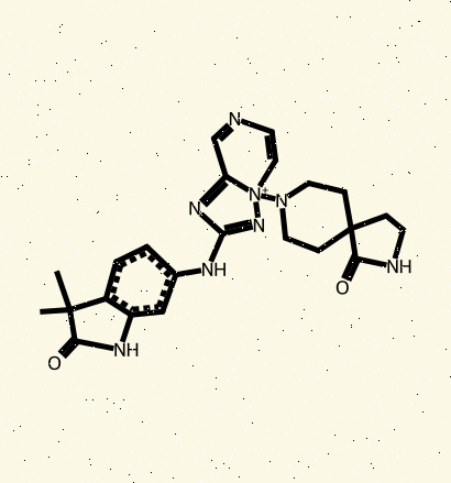 CC1(C)C(=O)Nc2cc(NC3=N[N+]4(N5CCC6(CCNC6=O)CC5)C=CN=CC4=N3)ccc21